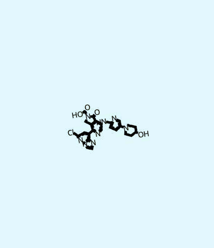 O=C(O)N1Cc2c(-c3cc(Cl)nn4ccnc34)ncc(Nc3ccc(N4CCC(O)CC4)cn3)c2C1=O